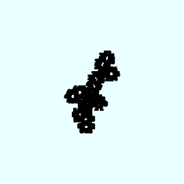 c1ccc(-c2nc(-c3c(-n4c5ccccc5c5cc6cc(-n7c8ccccc8c8c9ccccc9ccc87)ccc6cc54)ccc4ccccc34)nc(-c3cccc4c3ccc3ccccc34)n2)cc1